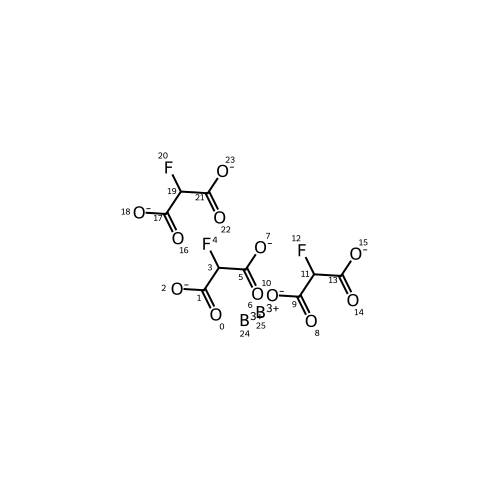 O=C([O-])C(F)C(=O)[O-].O=C([O-])C(F)C(=O)[O-].O=C([O-])C(F)C(=O)[O-].[B+3].[B+3]